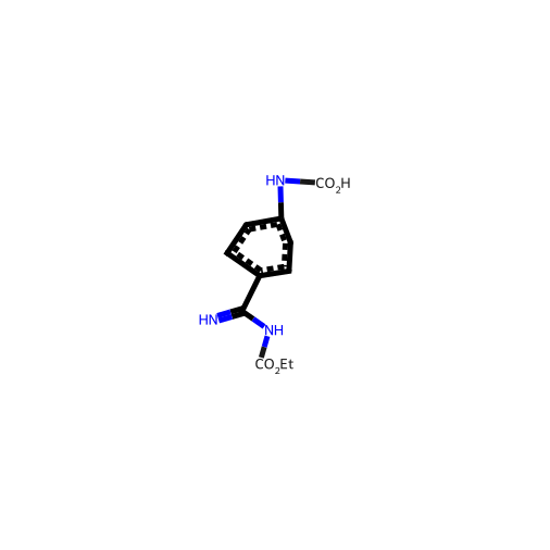 CCOC(=O)NC(=N)c1ccc(NC(=O)O)cc1